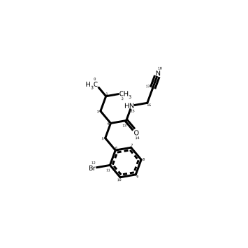 CC(C)CC(Cc1ccccc1Br)C(=O)NCC#N